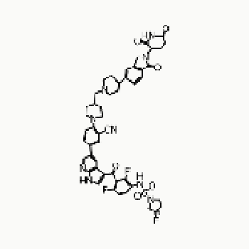 N#Cc1cc(-c2cnc3[nH]cc(C(=O)c4c(F)ccc(NS(=O)(=O)N5CC[C@@H](F)C5)c4F)c3c2)ccc1N1CCC(CN2CCC(c3ccc4c(c3)CN(C3CCC(=O)NC3=O)C4=O)CC2)CC1